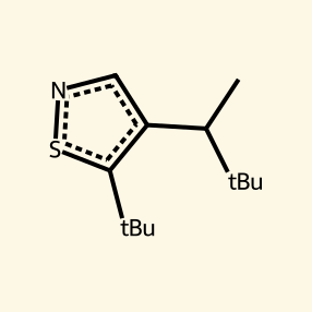 CC(c1cnsc1C(C)(C)C)C(C)(C)C